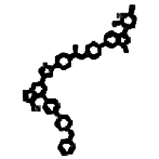 Cn1nc(N2CCC(=O)NC2=O)c2ccc(C3CCN(CC(=O)N4CCC(n5cc(-c6cc(-c7ccc(N8CCN(Cc9ccccn9)CC8)nc7)c7c(C#N)cnn7c6)cn5)CC4)CC3)cc21